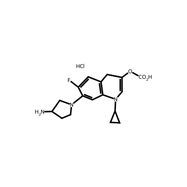 Cl.NC1CCN(c2cc3c(cc2F)CC(OC(=O)O)=CN3C2CC2)C1